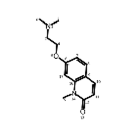 CN(C)CCOc1ccc2ccc(=O)n(C)c2c1